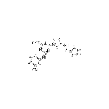 CCCc1cc(N2CC[C@H](NCc3ccsc3)C2)nc(Nc2cccc(C#N)c2)n1